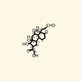 CC1(CCC=O)C(=O)CCC2C1C(O)CC1(C)C(O)C(C(=O)CO)CC21